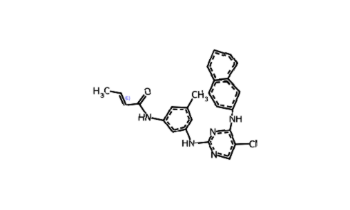 C/C=C/C(=O)Nc1cc(C)cc(Nc2ncc(Cl)c(Nc3ccc4ccccc4c3)n2)c1